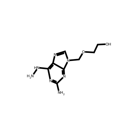 NNc1nc(N)nc2c1ncn2COCCO